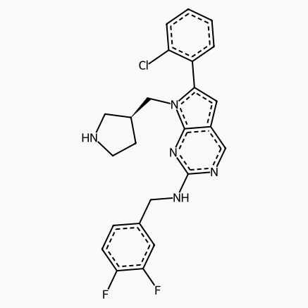 Fc1ccc(CNc2ncc3cc(-c4ccccc4Cl)n(C[C@H]4CCNC4)c3n2)cc1F